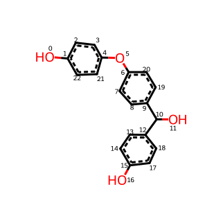 Oc1ccc(Oc2ccc(C(O)c3ccc(O)cc3)cc2)cc1